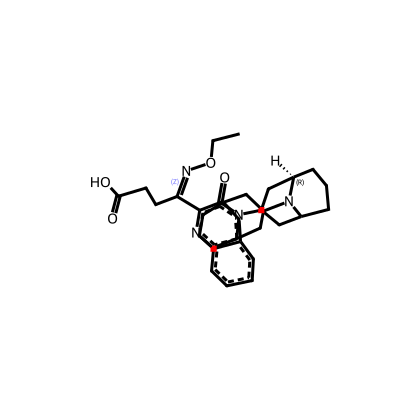 CCO/N=C(/CCC(=O)O)c1nc2ccccc2n(C2CC3CCC[C@H](C2)N3C2CC3CCCC(C3)C2)c1=O